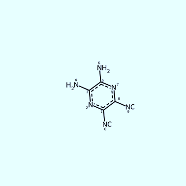 [C-]#[N+]c1nc(N)c(N)nc1[N+]#[C-]